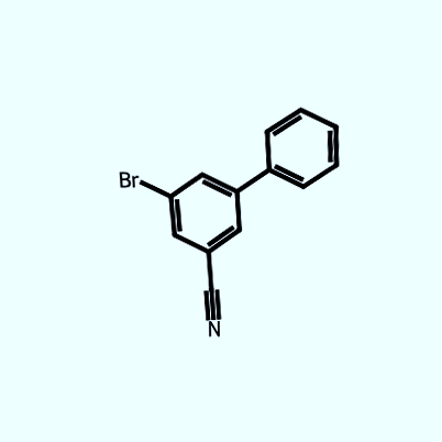 N#Cc1cc(Br)cc(-c2ccccc2)c1